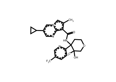 Cc1cn2cc(C3CC3)cnc2c1C(=O)NC1(c2ccc(C(F)(F)F)cn2)CCOCC1(C)O